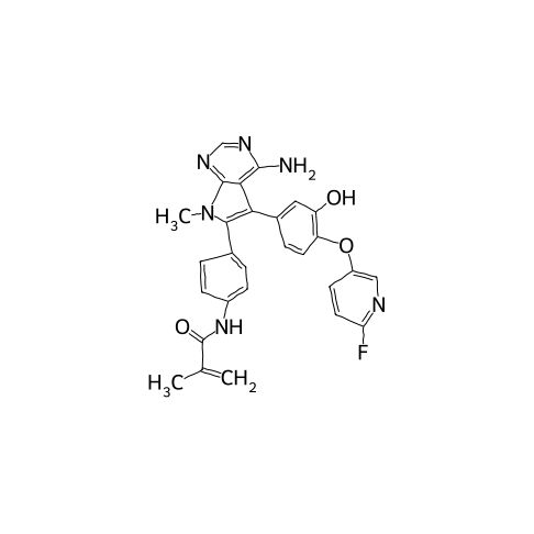 C=C(C)C(=O)Nc1ccc(-c2c(-c3ccc(Oc4ccc(F)nc4)c(O)c3)c3c(N)ncnc3n2C)cc1